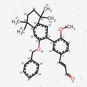 COc1ccc(/C=C/C=O)cc1-c1cc2c(cc1OCc1ccccc1)C(C)(C)CCC2(C)C